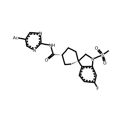 CC(=O)c1cnc(NC(=O)[C@H]2CC[C@]3(CC2)CN(S(C)(=O)=O)c2cc(F)ccc23)nc1